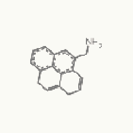 NCc1cc2cccc3c2c2c1C=CCC2=CC3